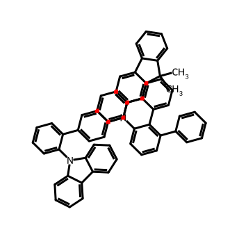 CC1(C)c2ccccc2-c2ccc(N(c3ccc(-c4ccccc4-n4c5ccccc5c5ccccc54)cc3)c3cccc(-c4ccccc4)c3-c3ccccc3-c3ccccc3)cc21